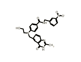 Cc1nc2ccc(CN(CCO)c3ccc(C(=O)NCc4cccc([N+](=O)[O-])c4)cc3)cc2c(=O)[nH]1